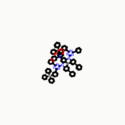 c1ccc(-c2ccc3c(c2)B2c4cc(-c5ccccc5)ccc4N(c4nc(-c5ccccc5)nc(-c5cccc([Si](c6ccccc6)(c6ccccc6)c6ccccc6)c5)n4)c4cc(N5c6ccccc6Oc6ccccc65)cc(c42)N3c2nc(-c3ccccc3)nc(-c3cccc([Si](c4ccccc4)(c4ccccc4)c4ccccc4)c3)n2)cc1